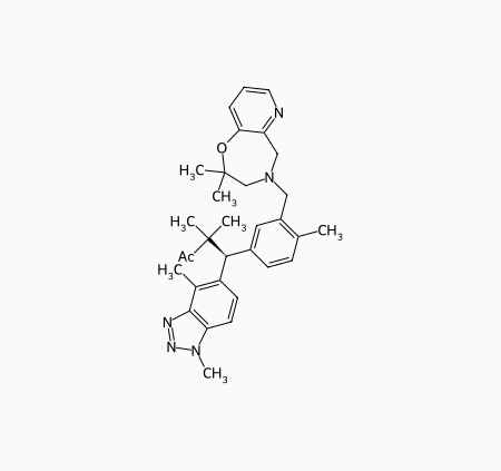 CC(=O)C(C)(C)[C@@H](c1ccc(C)c(CN2Cc3ncccc3OC(C)(C)C2)c1)c1ccc2c(nnn2C)c1C